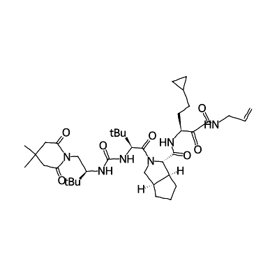 C=CCNC(=O)C(=O)[C@H](CCC1CC1)NC(=O)[C@@H]1[C@H]2CCC[C@H]2CN1C(=O)[C@@H](NC(=O)N[C@H](CN1C(=O)CC(C)(C)CC1=O)C(C)(C)C)C(C)(C)C